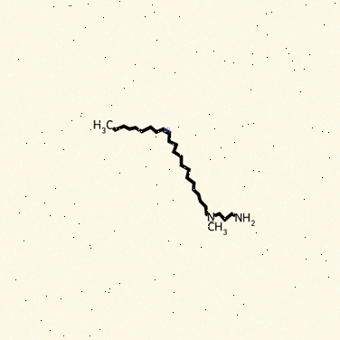 CCCCCCCC/C=C\CCCCCCCCCCCCCN(C)CCCN